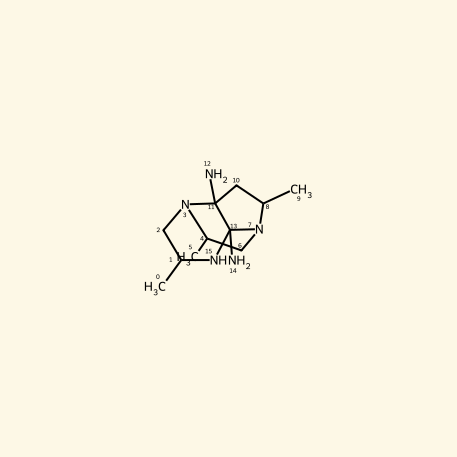 CC1CN2C(C)CN3C(C)CC2(N)C3(N)N1